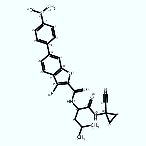 CC(C)CC(NC(=O)c1oc2cc(-c3ccc([S+](C)[O-])cc3)ccc2c1F)C(=O)NC1(C#N)CC1